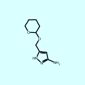 Nc1cc(COC2CCCCO2)[nH]n1